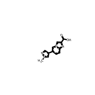 Cn1cc(-c2ccc3nc(C(=O)O)cn3c2)cn1